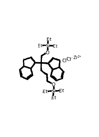 CC[Si](CC)(CC)OCCCC(CO[Si](CC)(CC)CC)(C1CCC2C=CC=CC21)C1CCC2C=CC=CC21.[Cl-].[Cl-].[Zr+2]